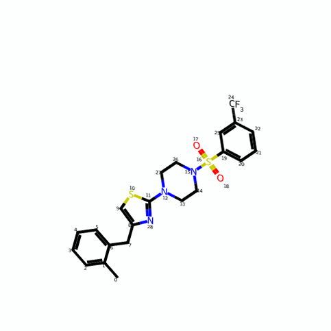 Cc1ccccc1Cc1csc(N2CCN(S(=O)(=O)c3cccc(C(F)(F)F)c3)CC2)n1